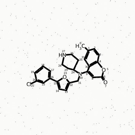 Cc1ccc2oc(=O)cc(N(Cc3ccc(-c4cccc(Cl)c4)o3)C3CCNCC3)c2c1